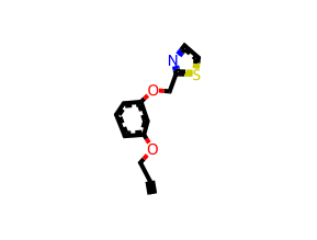 C#CCOc1cccc(OCc2nccs2)c1